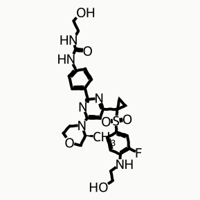 C[C@H]1COCCN1c1cc(C2(S(=O)(=O)c3ccc(NCCO)c(F)c3)CC2)nc(-c2ccc(NC(=O)NCCO)cc2)n1